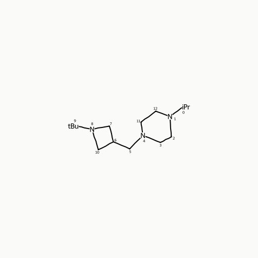 CC(C)N1CCN(CC2CN(C(C)(C)C)C2)CC1